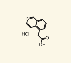 Cl.O=C(O)Cc1cccc2cnccc12